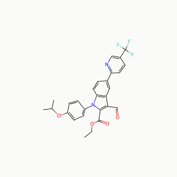 CCOC(=O)c1c(C=O)c2cc(-c3ccc(C(F)(F)F)cn3)ccc2n1-c1ccc(OC(C)C)cc1